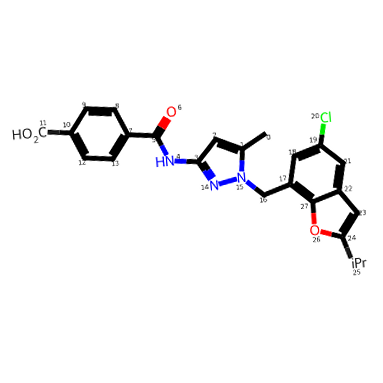 Cc1cc(NC(=O)c2ccc(C(=O)O)cc2)nn1Cc1cc(Cl)cc2cc(C(C)C)oc12